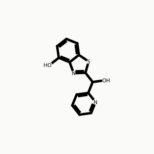 Oc1cccc2sc(C(O)c3ccccn3)nc12